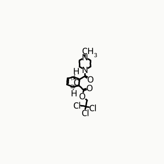 CN1CCN(C(=O)C2C(C(=O)OCC(Cl)(Cl)Cl)[C@H]3C=C[C@@H]2O3)CC1